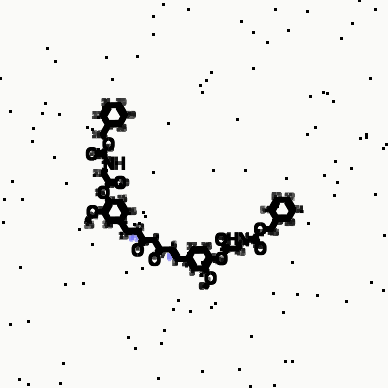 COc1cc(/C=C/C(=O)CC(=O)/C=C/c2ccc(OC(=O)CNC(=O)OCc3ccccc3)c(OC)c2)ccc1OC(=O)CNC(=O)OCc1ccccc1